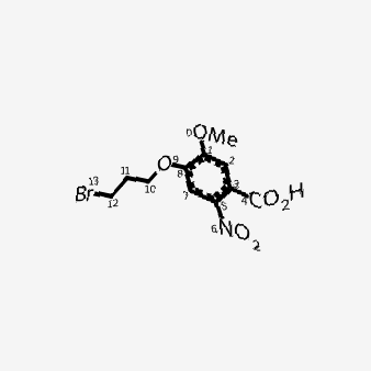 COc1cc(C(=O)O)c([N+](=O)[O-])cc1OCCCBr